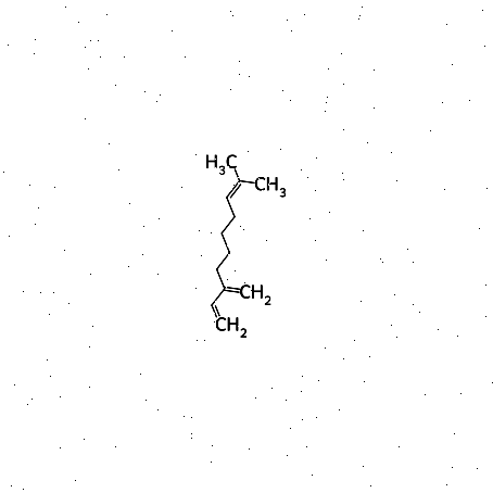 C=CC(=C)CCCCC=C(C)C